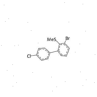 CSc1c(Br)cccc1-c1ccc(Cl)cc1